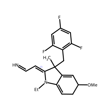 CCN1C2=CCC(OC)C=C2C(C)(Cc2c(F)cc(F)cc2F)/C1=C/C=N